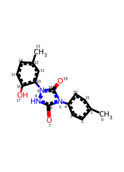 Cc1ccc(-n2c(=O)[nH]n(-c3cc(C)ccc3O)c2=O)cc1